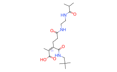 C/C(C(=O)O)=C(\CCC(=O)NCCNC(=O)C(C)C)C(=O)NCC(C)(C)C